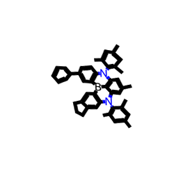 Cc1cc(C)c(N2c3ccc(-c4ccccc4)cc3B3c4cc5c(cc4N(c4c(C)cc(C)cc4C)c4cc(C)cc2c43)CCC5)c(C)c1